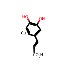 O=C(O)C=Cc1ccc(O)c(O)c1.[Cu]